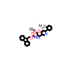 Cc1ccccc1-c1ccc(CC(NC(=O)OCC2c3ccccc3-c3ccccc32)C(=O)OC(C)(C)C)cn1